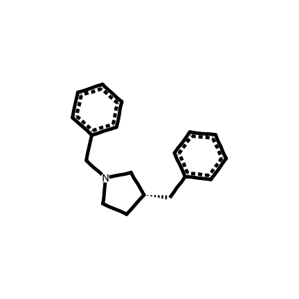 c1ccc(C[C@@H]2CCN(Cc3ccccc3)C2)cc1